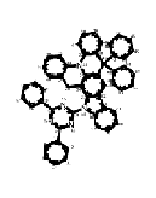 c1ccc(-c2nc(-c3ccccc3)nc(-n3c4ccccc4c4cc5c6c(c43)Cc3ccccc3N6c3ccccc3C5(c3ccccc3)c3ccccc3)n2)cc1